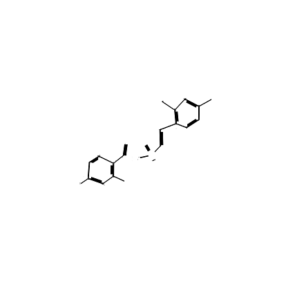 Cc1ccc(C=CS(=O)(=O)NC(=O)c2ccc(Cl)cc2Cl)c(C)c1